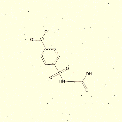 CC(C)(NS(=O)(=O)c1ccc([N+](=O)[O-])cc1)C(=O)O